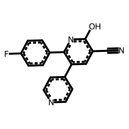 N#Cc1cc(-c2ccncc2)c(-c2ccc(F)cc2)nc1O